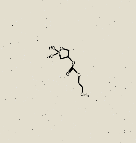 CCCOC(=O)OC1COS(O)(O)C1